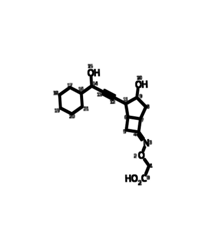 O=C(O)CON=C1CC2C1CC(O)C2C#CC(O)C1CCCCC1